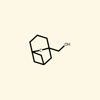 OCC12CCCC3(CC(C1)C3)C2